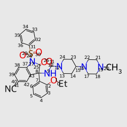 CCOc1ccccc1C1(NC(=O)N2CCC(N3CCN(C)CC3)CC2)C(=O)N(S(=O)(=O)c2ccccc2)c2ccc(C#N)cc21